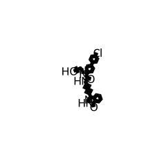 CC(C)(O)Cn1nc(C(=O)NC2CC3(C2)CC(c2n[nH]c(=O)c4ccccc24)C3)c2ccc(-c3ccc(Cl)cc3)cc21